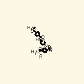 COC(=O)c1ccc(C(=O)Nc2ccc(Nc3cc(C(C)(C)C)ccc3[N+](=O)[O-])cn2)cc1